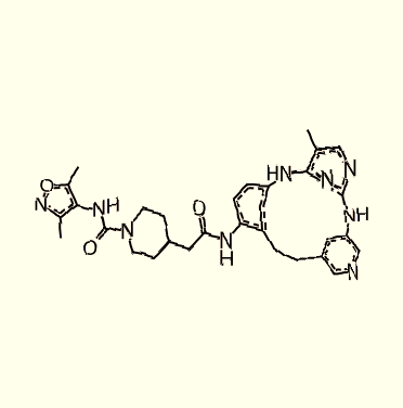 Cc1cnc2nc1Nc1ccc(NC(=O)CC3CCN(C(=O)Nc4c(C)noc4C)CC3)c(c1)CCc1cncc(c1)N2